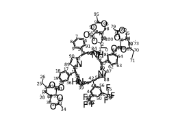 CCC1O[C@H](Oc2cccc(-c3c4nc(c(-c5cccc(O[C@H]6OC(CC)[C@@H](C)[C@H](C)C6OC(C)=O)c5)c5ccc([nH]5)c(-c5cc(C(F)(F)F)cc(C(F)(F)F)c5)c5nc(c(-c6cccc(O[C@H]7OC(CC)[C@@H](C)[C@H](C)C7OC(C)=O)c6)c6ccc3[nH]6)C=C5)C=C4)c2)C(OC(C)=O)[C@@H](C)[C@@H]1C